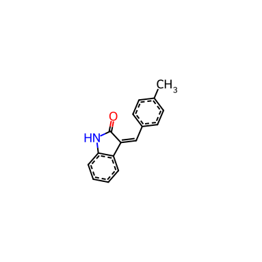 Cc1ccc(C=C2C(=O)Nc3ccccc32)cc1